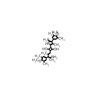 COc1c(C)cc(C(/C(C)=C/C2C(O)C(c3[nH]c(C)c(-c4cc(C)c(OC)c(C)c4)c3C)C2O)=C(\C)N)cc1C